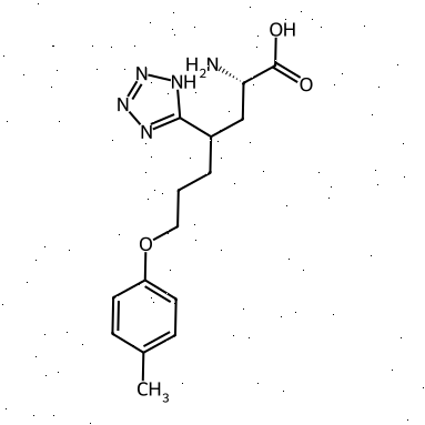 Cc1ccc(OCCCC(C[C@H](N)C(=O)O)c2nnn[nH]2)cc1